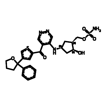 NS(=O)(=O)OC[C@H]1C[C@@H](Nc2cnncc2C(=O)c2cc(C3(c4ccccc4)CCCO3)cs2)C[C@@H]1O